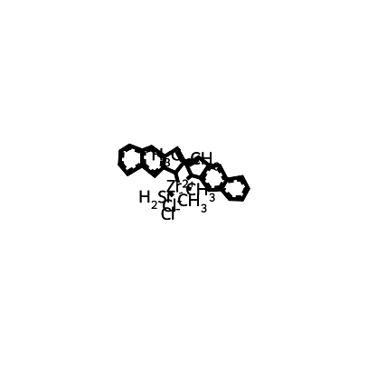 CC1=Cc2cc3ccccc3cc2[CH]1[Zr+2]([CH3])([CH3])(=[SiH2])[CH]1C(C)=Cc2cc3ccccc3cc21.[Cl-].[Cl-]